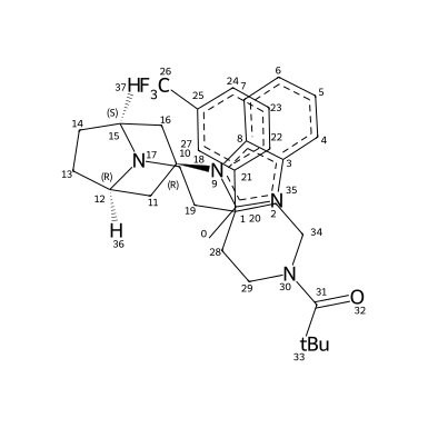 Cc1nc2ccccc2n1[C@H]1C[C@H]2CC[C@@H](C1)N2CCC1(c2cccc(C(F)(F)F)c2)CCN(C(=O)C(C)(C)C)CC1